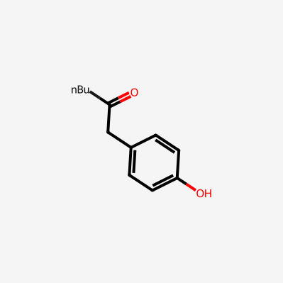 CCCCC(=O)Cc1ccc(O)cc1